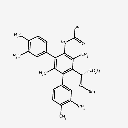 Cc1ccc(-c2c(C)c(-c3ccc(C)c(C)c3)c([C@@H](OC(C)(C)C)C(=O)O)c(C)c2NC(=O)C(C)C)cc1C